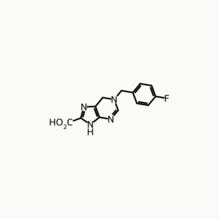 O=C(O)c1nc2c([nH]1)N=CN(Cc1ccc(F)cc1)C2